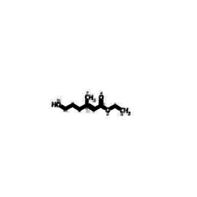 CCOC(=O)/C=C(\C)CCCO